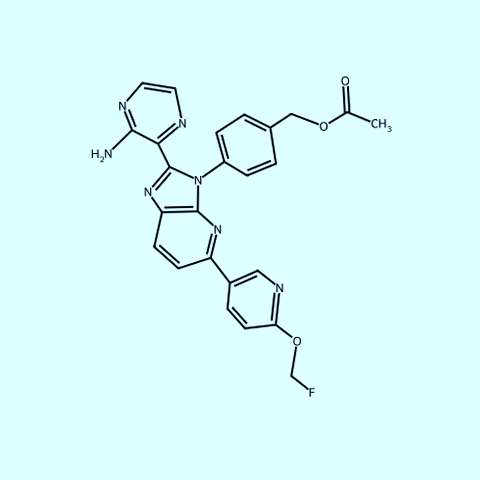 CC(=O)OCc1ccc(-n2c(-c3nccnc3N)nc3ccc(-c4ccc(OCF)nc4)nc32)cc1